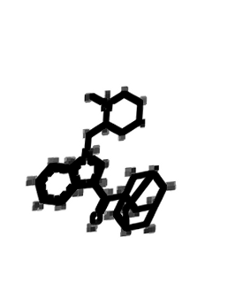 CN1CCCCC1Cn1cc(C(=O)C23CC4CC(CC(C4)C2)C3)c2ccccc21